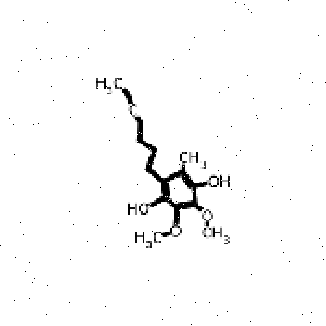 CCCCCCCc1c(C)c(O)c(OC)c(OC)c1O